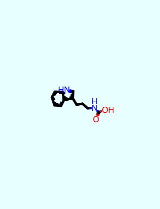 O=C(O)NCCCc1c[nH]c2ccccc12